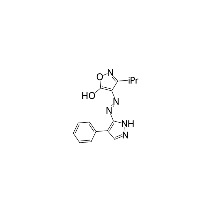 CC(C)c1noc(O)c1N=Nc1[nH]ncc1-c1ccccc1